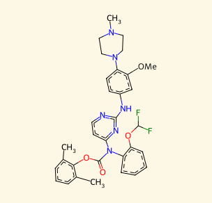 COc1cc(Nc2nccc(N(C(=O)Oc3c(C)cccc3C)c3ccccc3OC(F)F)n2)ccc1N1CCN(C)CC1